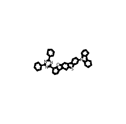 c1ccc(-c2nc(-c3ccccc3)nc(-c3cccc4c3oc3cc5c(cc34)sc3cc(-n4c6ccccc6c6ccccc64)ccc35)n2)cc1